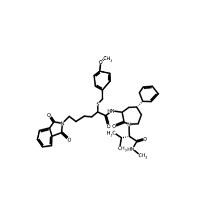 CNC(=O)[C@H](C(C)C)N1CC[C@@H](C2C=CC=CC2)CC(NC(=O)C(CCCCN2C(=O)c3ccccc3C2=O)SCc2ccc(OC)cc2)C1=O